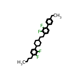 CCCCc1ccc(C2CCC(CCc3ccc(-c4ccc(CC)cc4)c(F)c3F)CC2)c(F)c1F